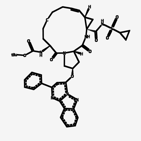 CC(C)(C)OC(=O)N[C@H]1CCCCC/C=C\[C@@H]2C[C@@]2(C(=O)NS(=O)(=O)C2CC2)NC(=O)[C@@H]2C[C@@H](Oc3cc(-c4ccccc4)nc4c5ccccc5nn34)CN2C1=O